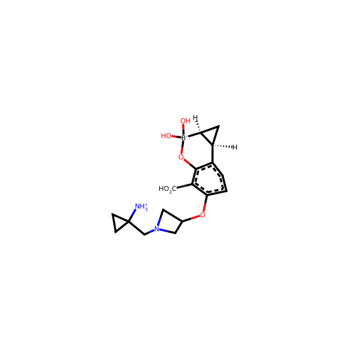 [NH3+]C1(CN2CC(Oc3ccc4c(c3C(=O)O)O[B-](O)(O)[C@H]3C[C@@H]43)C2)CC1